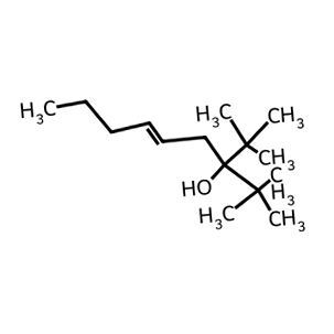 CCCC=CCC(O)(C(C)(C)C)C(C)(C)C